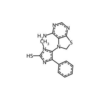 Cn1c(S)nc(-c2ccccc2)c1N1CSc2ncnc(N)c21